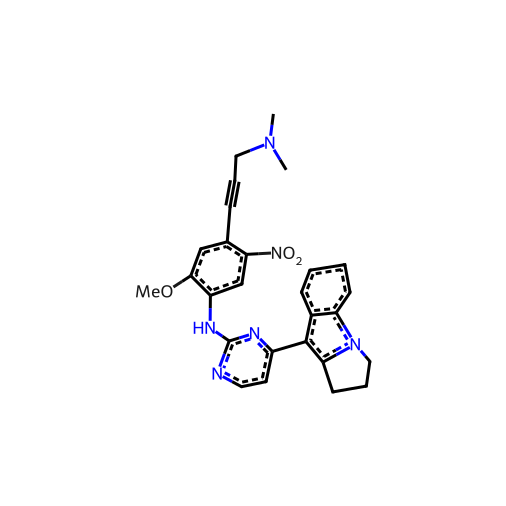 COc1cc(C#CCN(C)C)c([N+](=O)[O-])cc1Nc1nccc(-c2c3n(c4ccccc24)CCC3)n1